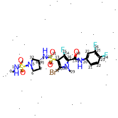 CNS(=O)(=O)N1CC[C@@H](NS(=O)(=O)c2c(F)c(C(=O)Nc3ccc(F)c(F)c3)n(C)c2Br)C1